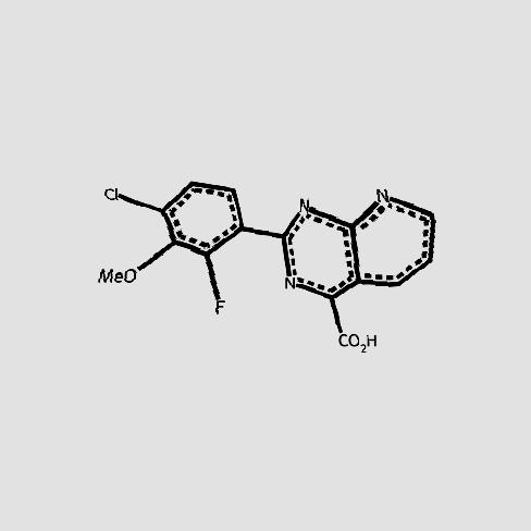 COc1c(Cl)ccc(-c2nc(C(=O)O)c3cccnc3n2)c1F